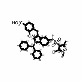 COc1cc(C(=O)O)ccc1Cc1cn(C(c2ccccc2)c2ccccc2)c2ccc(NS(=O)(=O)c3c(C)nn(C)c3Cl)cc12